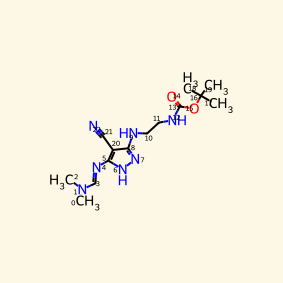 CN(C)C=Nc1[nH]nc(NCCNC(=O)OC(C)(C)C)c1C#N